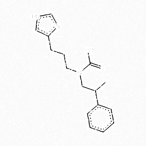 CC(CN(CCCc1c[nH]cn1)C(=O)O)c1ccccc1